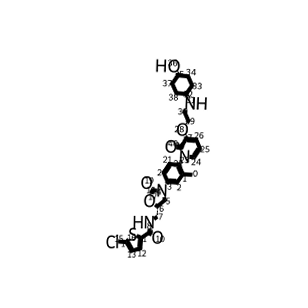 Cc1cc(N2C[C@H](CNC(=O)c3ccc(Cl)s3)OC2=O)ccc1-n1cccc(OCCNC2CCC(O)CC2)c1=O